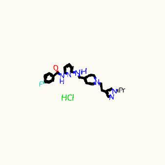 CC(C)n1cc(CCN2CCC(CNc3cccc(NC(=O)c4ccc(F)cc4)n3)CC2)cn1.Cl